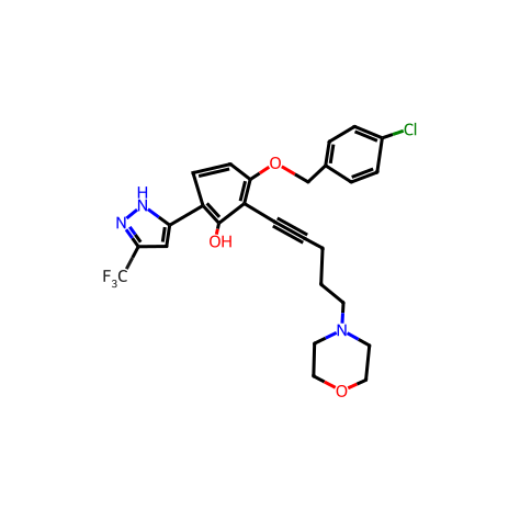 Oc1c(-c2cc(C(F)(F)F)n[nH]2)ccc(OCc2ccc(Cl)cc2)c1C#CCCCN1CCOCC1